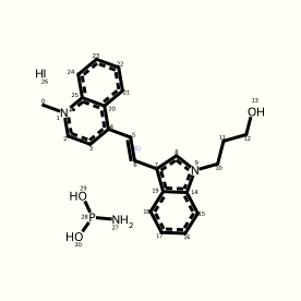 C[n+]1ccc(/C=C/c2cn(CCCO)c3ccccc23)c2ccccc21.I.NP(O)O